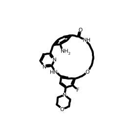 Nc1cc2ccc1-c1ccnc(n1)Nc1cc(c(F)c(N3CCOCC3)c1)COCCCCNC2=O